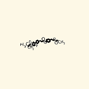 C=CC(=O)OCCc1ccc(OC(=O)/C=C/c2ccc(-c3ccc(OC(=O)C(=C)C)cc3)c(F)c2)cc1